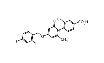 Cc1cc(OCc2ccc(F)cc2F)cc(=O)n1-c1ccc(C(=O)O)cc1Cl